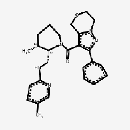 C[C@@H]1CCCN(C(=O)c2c(-c3ccccc3)nn3c2COCC3)[C@@H]1CNc1ccc(C(F)(F)F)cn1